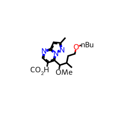 CCCCOCCC(C)C(OC)c1c(C(=O)O)cnc2cc(C)nn12